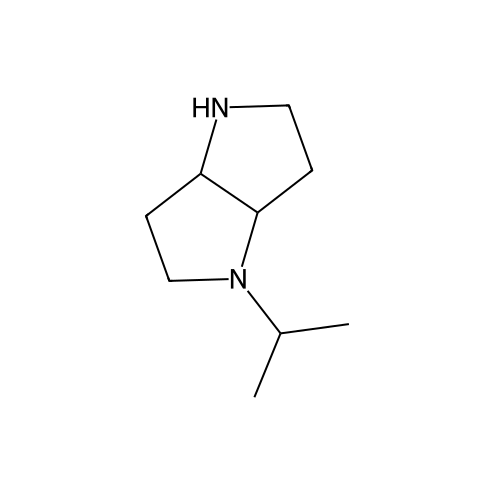 CC(C)N1CCC2NCCC21